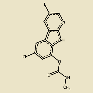 CNC(=O)Oc1cc(Cl)cc2c1[nH]c1ncc(I)cc12